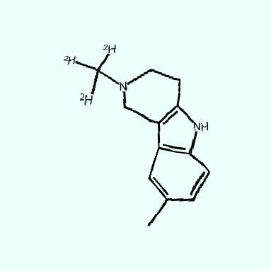 [2H]C([2H])([2H])N1CCc2[nH]c3ccc(C)cc3c2C1